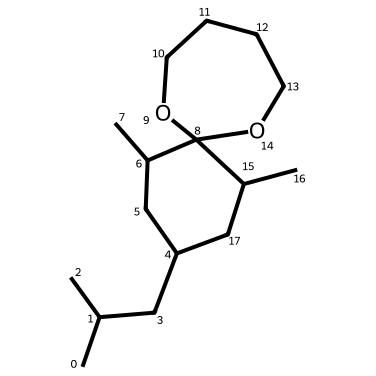 CC(C)CC1CC(C)C2(OCCCCO2)C(C)C1